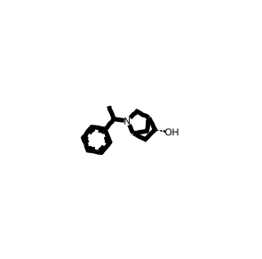 CC(c1ccccc1)N1CC2CC1C[C@H]2O